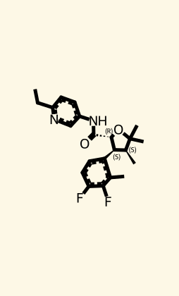 CCc1ccc(NC(=O)[C@@H]2OC(C)(C)[C@@H](C)[C@H]2c2ccc(F)c(F)c2C)cn1